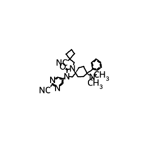 CN(C)[C@]1(c2ccccc2)CC[C@@]2(CC1)CN(c1cnc(C#N)nc1)C(=O)N2CC1(C#N)CCC1